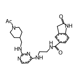 CC(=O)N1CCC(CNc2nccc(NCCNC(=O)c3ccc4c(c3)CC(=O)N4)n2)CC1